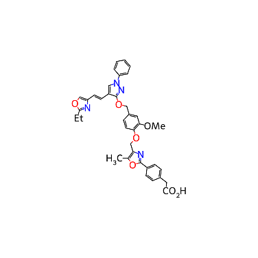 CCc1nc(C=Cc2cn(-c3ccccc3)nc2OCc2ccc(OCc3nc(-c4ccc(CC(=O)O)cc4)oc3C)c(OC)c2)co1